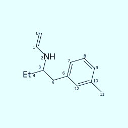 C=CNC(CC)Cc1cccc(C)c1